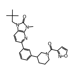 Cn1c(=O)n(CC(C)(C)C)c2ccc(-c3cccc(C4CCCN(C(=O)c5ccon5)C4)c3)nc21